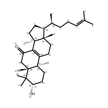 CC(C)=CCC[C@H](C)[C@@H]1CC[C@]2(C)C3=C(CC[C@@]12C)[C@@]1(C)CC[C@H](O)C(C)(C)[C@@H]1CC3=O